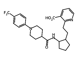 O=C(O)c1cccnc1CCC1CCCC1NC(=O)C1CCN(c2ccc(C(F)(F)F)cc2)CC1